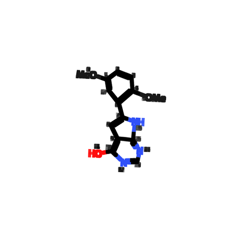 COc1ccc(OC)c(-c2cc3c(O)ncnc3[nH]2)c1